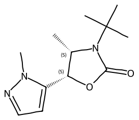 C[C@H]1[C@@H](c2ccnn2C)OC(=O)N1C(C)(C)C